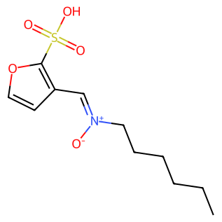 CCCCCC[N+]([O-])=Cc1ccoc1S(=O)(=O)O